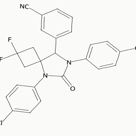 N#Cc1cccc(C2N(c3ccc(Cl)cc3)C(=O)N(c3ccc(Cl)cc3)C23CC(F)(F)C3)c1